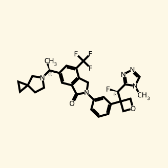 C[C@@H](c1cc2c(c(C(F)(F)F)c1)CN(c1cccc(C3([C@@H](F)c4nncn4C)COC3)c1)C2=O)N1CCC2(CC2)C1